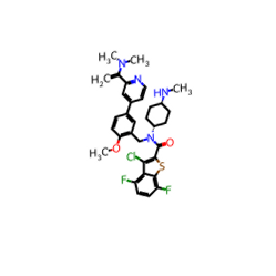 C=C(c1cc(-c2ccc(OC)c(CN(C(=O)c3sc4c(F)ccc(F)c4c3Cl)[C@H]3CC[C@H](NC)CC3)c2)ccn1)N(C)C